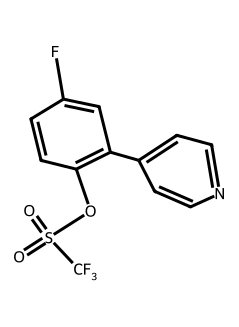 O=S(=O)(Oc1ccc(F)cc1-c1ccncc1)C(F)(F)F